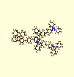 c1ccc(-n2c3ccccc3c3cc(-c4ccc5c(c4)c4ccccc4n5-c4cc(-c5ccc(-c6ccc7c(c6)C6(c8ccccc8-c8ccccc86)c6ccccc6-7)cc5)nc(-n5c6ccccc6c6cc(-c7ccc8c(c7)c7ccccc7n8-c7ccccc7)ccc65)n4)ccc32)cc1